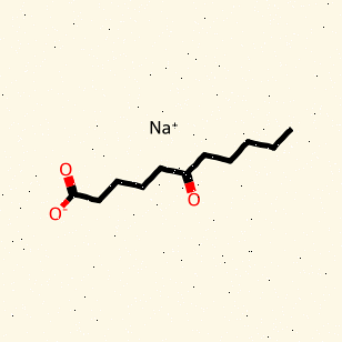 CCCCCC(=O)CCCCC(=O)[O-].[Na+]